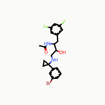 CC(=O)NC(Cc1cc(F)cc(F)c1)C(O)CNC1(c2cccc(Br)c2)CC1